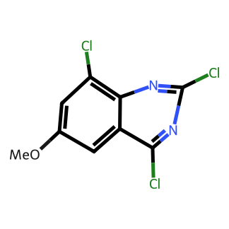 COc1cc(Cl)c2nc(Cl)nc(Cl)c2c1